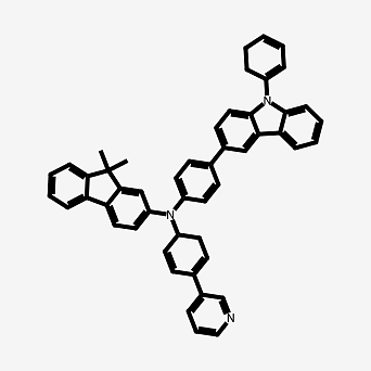 CC1(C)c2ccccc2-c2ccc(N(c3ccc(-c4ccc5c(c4)c4ccccc4n5C4=CC=CCC4)cc3)C3C=CC(c4cccnc4)=CC3)cc21